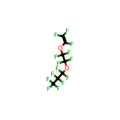 FC(F)=C(F)OC(F)(F)C(F)(F)OC(F)(F)C(F)(F)C(F)(F)F